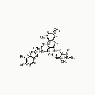 CCN/C(F)=C(/CNC(=O)C1=C(C)NC(Nc2nc3ccc(F)c(CC)c3o2)=NC1c1ccc(C)cc1Cl)C(C)=N